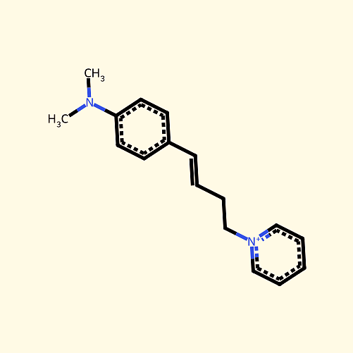 CN(C)c1ccc(C=CCC[n+]2ccccc2)cc1